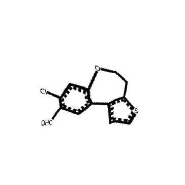 O=Cc1cc2c(cc1Cl)OCCc1sccc1-2